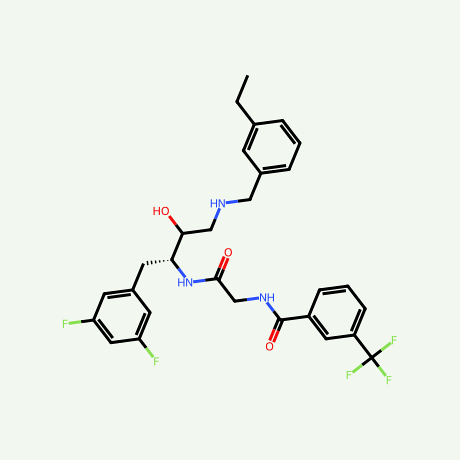 CCc1cccc(CNCC(O)[C@@H](Cc2cc(F)cc(F)c2)NC(=O)CNC(=O)c2cccc(C(F)(F)F)c2)c1